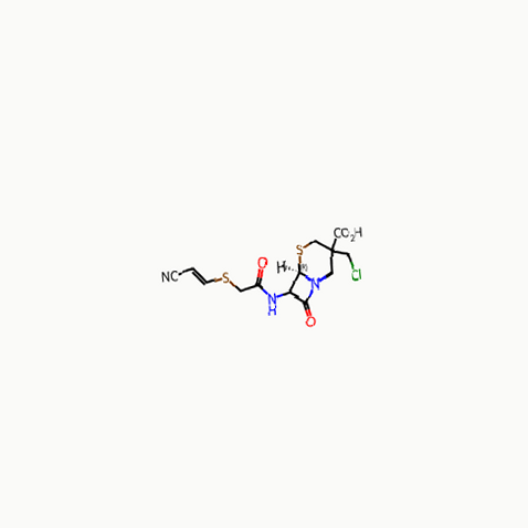 N#CC=CSCC(=O)NC1C(=O)N2CC(CCl)(C(=O)O)CS[C@H]12